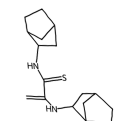 C=C(NC1CC2CCC1C2)C(=S)NC1CC2CCC1C2